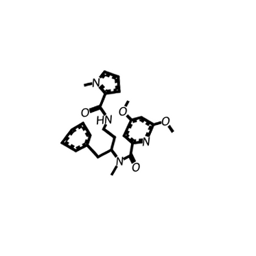 COc1cc(OC)nc(C(=O)N(C)C(CCNC(=O)c2cccn2C)Cc2ccccc2)c1